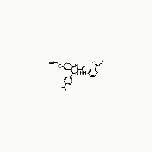 C#CCOc1ccc2nc(C(=O)Nc3cccc(C(=O)OC)c3)nc(-c3ccc(C(C)C)cc3)c2c1